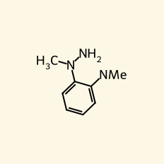 CNc1ccccc1N(C)N